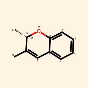 CC1=Cc2ccccc2O[C@H]1C